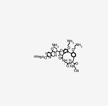 CCCCCCCOc1ncc(C(=O)N[C@@H](CCN)C(=O)N(C)[C@@H]2C(=O)N[C@@H](C)C(=O)N[C@H](C(=O)NCC#N)Cc3ccc(OCCN)c(c3)-c3cc2ccc3OCCN)c(C)n1